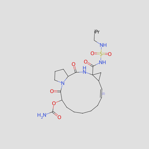 CC(C)CNS(=O)(=O)NC(=O)C12CC1/C=C\CCCCCC(OC(N)=O)C(=O)N1CCCC1C(=O)N2